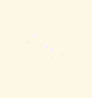 N#Cc1cncc(OC(=O)N2CCN(Cc3cc(Cl)ccc3C(F)(F)F)CC2)c1